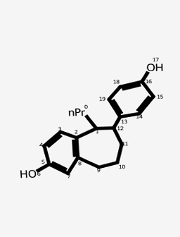 CCCC1c2ccc(O)cc2CCCC1c1ccc(O)cc1